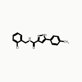 Cc1ccc(-c2cc(C(=O)NCc3ccccc3Cl)n[nH]2)cc1